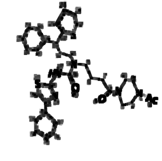 CC(=O)N1CCN(C(=O)CCCN(CCC(c2ccccc2)c2ccccc2)C(=O)Nc2nc(-c3ccccc3)cs2)CC1